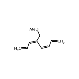 C=C/C=C\C(=C/C=C)COC